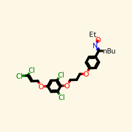 CCCCC(=NOCC)c1ccc(OCCCOc2c(Cl)cc(OCC=C(Cl)Cl)cc2Cl)cc1